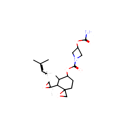 COC1C(OC(=O)N2CC(OC(N)=O)C2)CCC2(CO2)C1[C@@]1(C)O[C@@H]1CC=C(C)C